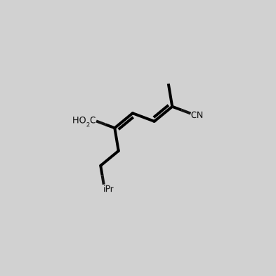 CC(C#N)=CC=C(CCC(C)C)C(=O)O